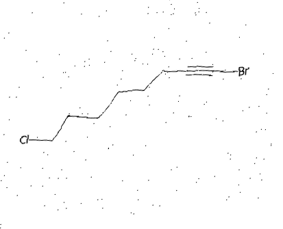 ClCCCCCCC#CBr